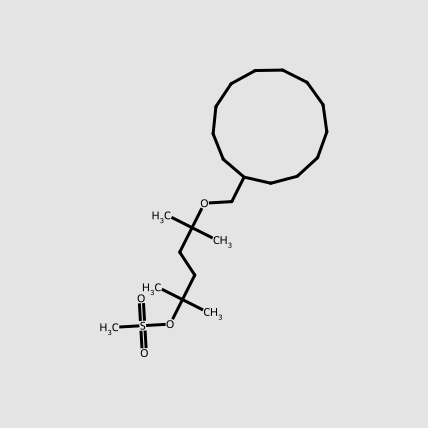 CC(C)(CCC(C)(C)OS(C)(=O)=O)OCC1CCCCCCCCCCCC1